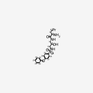 CC(C)C[C@H](N)C(=O)NCC(O)CNS(=O)(=O)c1ccc(Oc2ccccc2)cc1